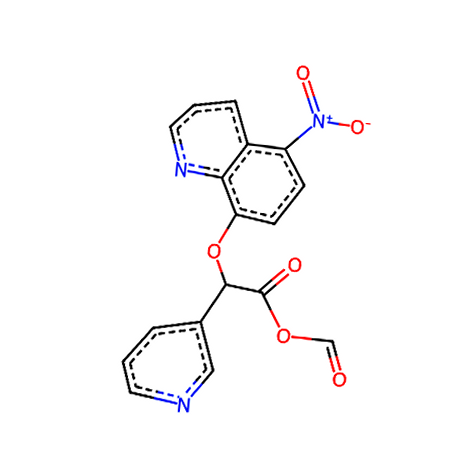 O=COC(=O)C(Oc1ccc([N+](=O)[O-])c2cccnc12)c1cccnc1